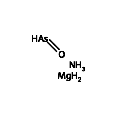 N.O=[AsH].[MgH2]